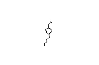 CCCCCc1ccc(CC(N)=O)cc1